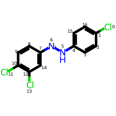 Clc1ccc(N[N]c2ccc(Cl)c(Cl)c2)cc1